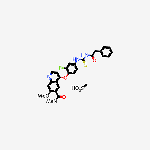 CNC(=O)c1cc2c(Oc3ccc(NC(=S)NC(=O)Cc4ccccc4)cc3F)ccnc2cc1OC.CS(=O)(=O)O